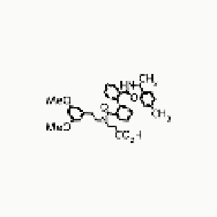 COc1cc(CCN(CCC(=O)O)C(=O)c2ccccc2-c2ccccc2C(=O)N[C@H](C)c2ccc(C)cc2)cc(OC)c1